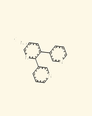 [Cl-].[Na+].c1cncc(-c2cccnc2-c2cccnc2)c1